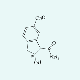 NC(=O)C1c2cc(C=O)ccc2C[C@H]1O